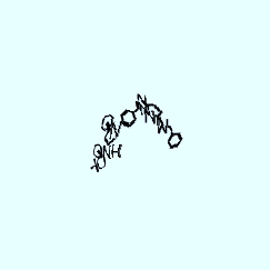 CN(Cc1ccccc1)c1ccc2ncc(-c3ccc(N4C[C@@H](NC(=O)OC(C)(C)C)CC4=O)cc3)n2n1